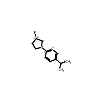 CC(C)c1ccc(N2CC[C@@H](F)C2)nc1